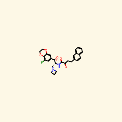 O=C(CCc1ccc2ccccc2c1)C(=O)N[C@H](CN1CCC1)[C@H](O)c1cc(F)c2c(c1)OCCO2